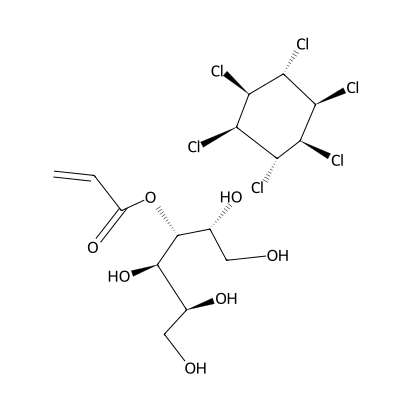 C=CC(=O)O[C@@H]([C@H](O)[C@@H](O)CO)[C@H](O)CO.Cl[C@H]1[C@H](Cl)[C@@H](Cl)[C@@H](Cl)[C@H](Cl)[C@H]1Cl